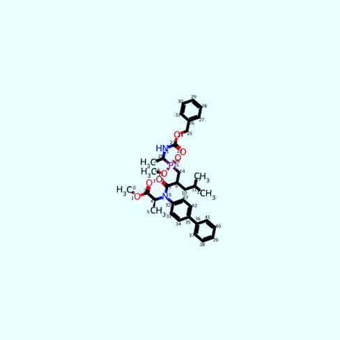 COC(=O)[C@H](C)N(C(=O)C(CC(C)C)CP(=O)(OC)C(C)NC(=O)OCc1ccccc1)c1ccc(-c2ccccc2)cc1